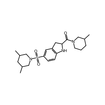 CC1CCCN(C(=O)C2Cc3cc(S(=O)(=O)N4CC(C)CC(C)C4)ccc3N2)C1